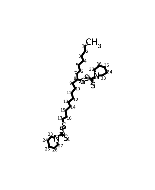 CCCCCCCCC(CCCCCCCCCSSC(=S)N1CCCCC1)SSC(=S)N1CCCCC1